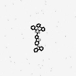 c1ccc(-c2nc(-c3ccc4c(c3)oc3cc(-n5c6ccccc6c6ccccc65)ccc34)nc(-c3ccccc3-c3ccccc3)n2)cc1